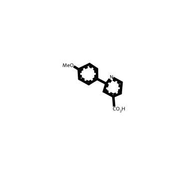 COc1ccc(-c2cc(C(=O)O)ccn2)cc1